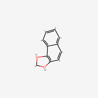 [c]1cc2ccccc2c2c1OCO2